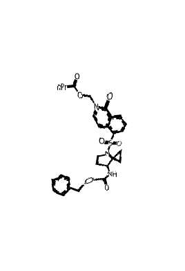 CCCC(=O)OCn1ccc2c(S(=O)(=O)N3CCC(NC(=O)OCc4ccccc4)C34CC4)cccc2c1=O